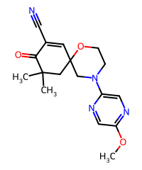 COc1cnc(N2CCOC3(C=C(C#N)C(=O)C(C)(C)C3)C2)cn1